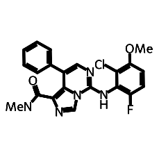 CNC(=O)c1ncn2c(Nc3c(F)ccc(OC)c3Cl)ncc(-c3ccccc3)c12